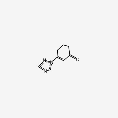 O=C1C=C(n2cncn2)CCC1